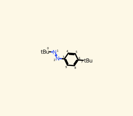 CC(C)(C)/N=N/c1ccc(C(C)(C)C)cc1